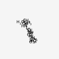 CC(C)(C)OC(=O)NCCc1ccc2nc(CN(C=O)c3cc(=O)n4ccccc4n3)cn2c1